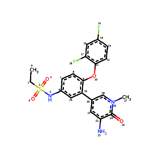 CCS(=O)(=O)Nc1ccc(Oc2ccc(F)cc2F)c(-c2cc(N)c(=O)n(C)c2)c1